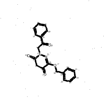 O=C1CC(=O)N(CC(=O)c2ccccc2)N=C1OCc1ccccc1